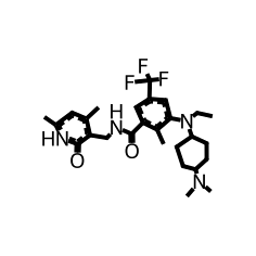 CCN(c1cc(C(F)(F)F)cc(C(=O)NCc2c(C)cc(C)[nH]c2=O)c1C)C1CCC(N(C)C)CC1